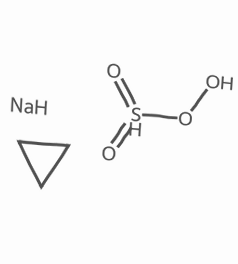 C1CC1.O=[SH](=O)OO.[NaH]